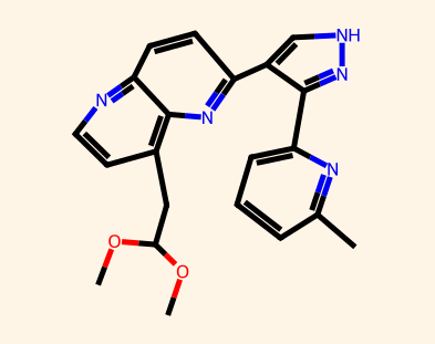 COC(Cc1ccnc2ccc(-c3c[nH]nc3-c3cccc(C)n3)nc12)OC